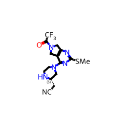 CSc1nc2c(c(N3CCN[C@@H](CC#N)C3)n1)CN(C(=O)C(F)(F)F)C2